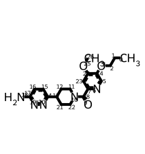 CCCOc1cnc(C(=O)N2CCC(c3ccc(N)nn3)CC2)cc1OC